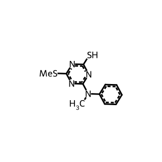 CSc1nc(S)nc(N(C)c2ccccc2)n1